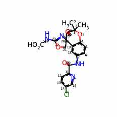 CC1(C)Oc2ccc(NC(=O)c3ccc(Cl)cn3)cc2[C@@]2(COC(NC(=O)O)=N2)C12COC2